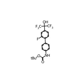 CC(C)(C)OC(=O)Nc1ccc(-c2ccc(C(O)(C(F)(F)F)C(F)(F)F)cc2F)cc1